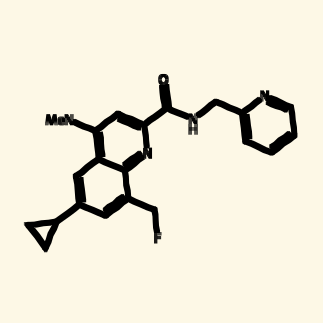 CNc1cc(C(=O)NCc2ccccn2)nc2c(CF)cc(C3CC3)cc12